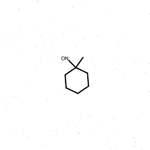 CC1(N=O)CCCCC1